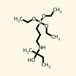 CCO[Si](CCCNC(C)(O)CC)(OCC)OCC